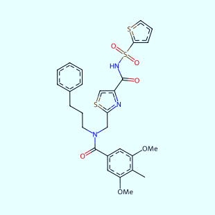 COc1cc(C(=O)N(CCCc2ccccc2)Cc2nc(C(=O)NS(=O)(=O)c3cccs3)cs2)cc(OC)c1C